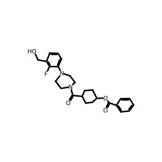 O=C(OC1CCC(C(=O)N2CCN(c3cccc(CO)c3F)CC2)CC1)c1ccccc1